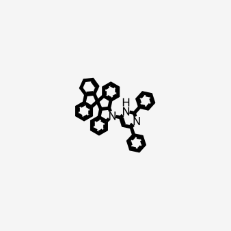 C1=CC2=C(CC1)c1ccccc1C21c2ccccc2C2C1c1ccccc1N2C1=CC(c2ccccc2)=NC(c2ccccc2)N1